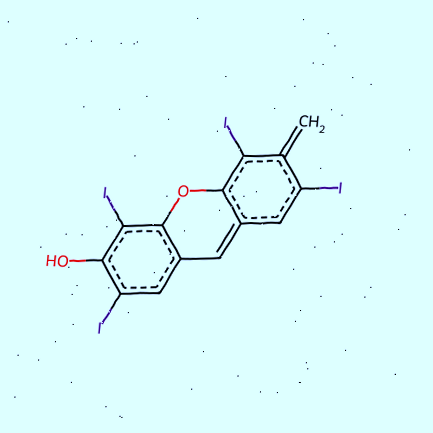 C=c1c(I)cc2c(c1I)Oc1c(cc(I)c(O)c1I)C=2